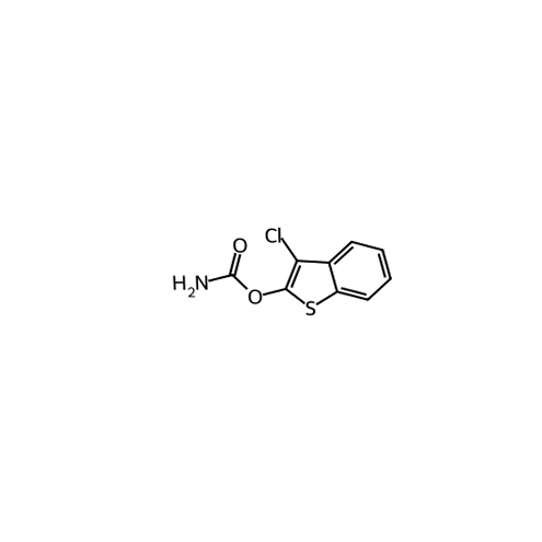 NC(=O)Oc1sc2ccccc2c1Cl